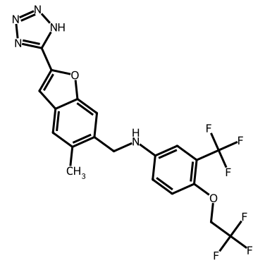 Cc1cc2cc(-c3nnn[nH]3)oc2cc1CNc1ccc(OCC(F)(F)F)c(C(F)(F)F)c1